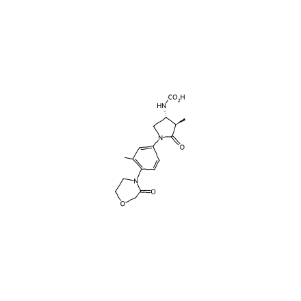 Cc1cc(N2C[C@H](NC(=O)O)[C@@H](C)C2=O)ccc1N1CCOCC1=O